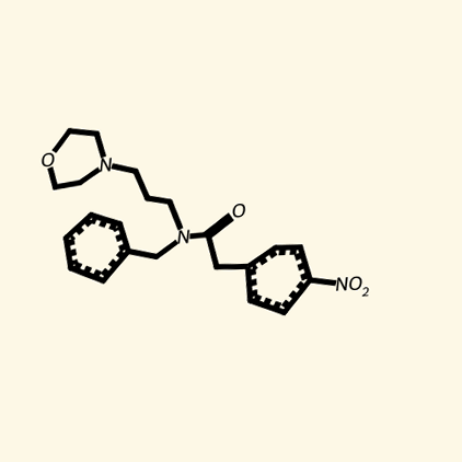 O=C(Cc1ccc([N+](=O)[O-])cc1)N(CCCN1CCOCC1)Cc1ccccc1